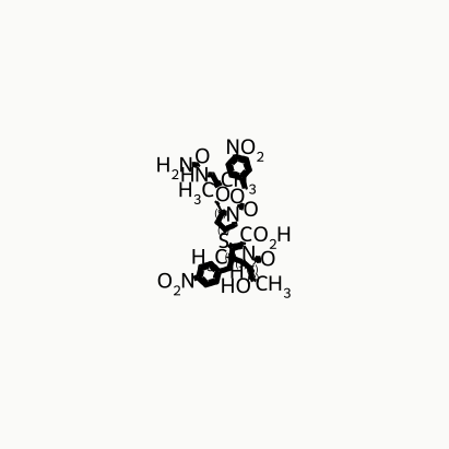 C[C@@H](O)[C@H]1C(=O)N2C(C(=O)O)=C(S[C@H]3C[C@@H](COC(C)(C)CNC(N)=O)N(C(=O)OCc4ccc([N+](=O)[O-])cc4)C3)[C@](C)(Cc3ccc([N+](=O)[O-])cc3)[C@H]12